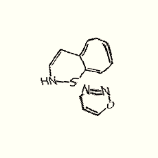 C1=Cc2ccccc2SN1.c1conn1